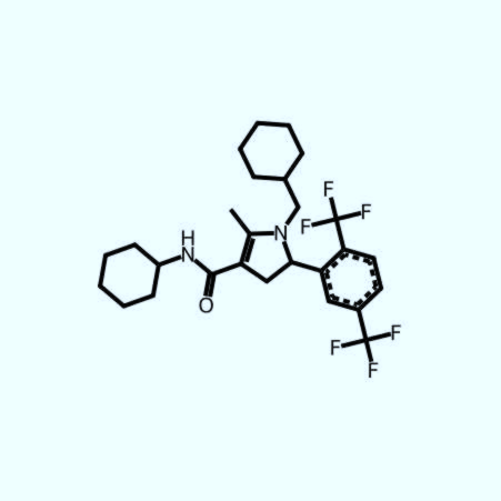 CC1=C(C(=O)NC2CCCCC2)CC(c2cc(C(F)(F)F)ccc2C(F)(F)F)N1CC1CCCCC1